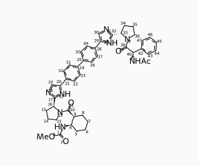 COC(=O)N[C@@H]1CCCC[C@@H]1C(=O)N1CCC[C@H]1c1ncc(-c2ccc(-c3ccc(-c4cnc([C@@H]5CCCN5C(=O)[C@H](NC(C)=O)c5ccccc5)[nH]4)cc3)cc2)[nH]1